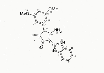 C=C1C(=O)C(c2nc3ccccc3[nH]2)=C(N)N1c1cc(OC)cc(OC)c1